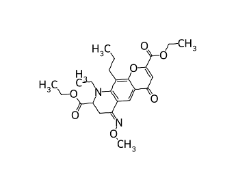 CCCc1c2c(cc3c(=O)cc(C(=O)OCC)oc13)C(=NOC)CC(C(=O)OCC)N2CC